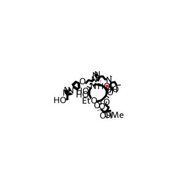 CC[C@H]1OC(=O)[C@H](C)[C@@H](O[C@H]2C[C@@](C)(OC)[C@@H](O)[C@H](C)O2)[C@H](C)[C@@H](O[C@@H]2O[C@H](C)C[C@H](N(C)CCc3cn(CCCOc4ccc(-n5cc(CO)nn5)cc4)nn3)[C@H]2O)[C@](C)(O)C[C@@H](C)CN(C)[C@H](C)[C@@H](O)[C@]1(C)O